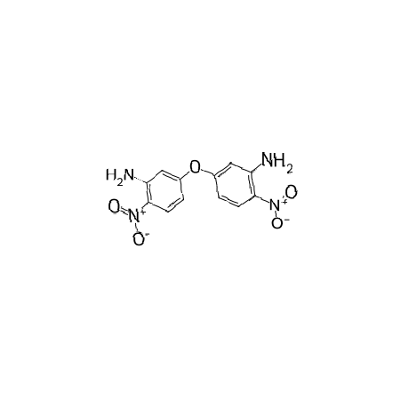 Nc1cc(Oc2ccc([N+](=O)[O-])c(N)c2)ccc1[N+](=O)[O-]